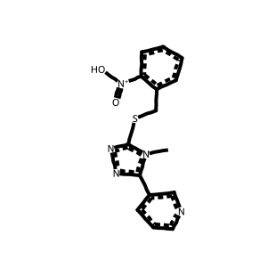 Cn1c(SCc2ccccc2[N+](=O)O)nnc1-c1cccnc1